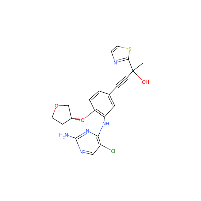 CC(O)(C#Cc1ccc(O[C@H]2CCOC2)c(Nc2nc(N)ncc2Cl)c1)c1nccs1